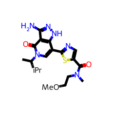 COCCN(C)C(=O)c1cnc(-c2cn(C(C)C(C)C)c(=O)c3c(N)n[nH]c23)s1